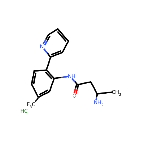 CC(N)CC(=O)Nc1cc(C(F)(F)F)ccc1-c1ccccn1.Cl